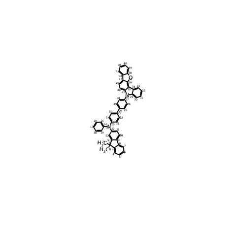 CC1(C)c2ccccc2-c2ccc(N(c3ccccc3)c3ccc(-c4ccc(-n5c6ccccc6c6c7oc8ccccc8c7ccc65)cc4)cc3)cc21